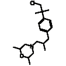 CC(Cc1ccc(C(C)(C)CCl)cc1)CN1CC(C)OC(C)C1